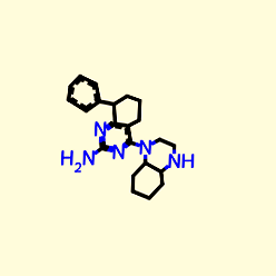 Nc1nc2c(c(N3CCNC4CCCCC43)n1)CCCC2c1ccccc1